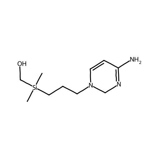 C[Si](C)(CO)CCCN1C=CC(N)=NC1